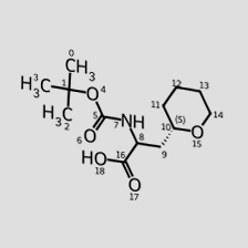 CC(C)(C)OC(=O)NC(C[C@@H]1CCCCO1)C(=O)O